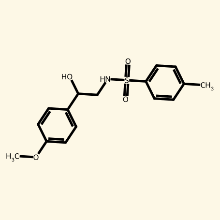 COc1ccc(C(O)CNS(=O)(=O)c2ccc(C)cc2)cc1